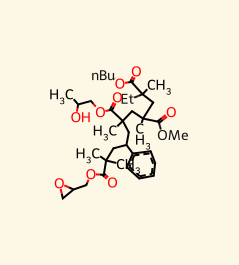 CCCCOC(=O)C(C)(CC)CC(C)(CC(C)(CC(CC(C)(C)C(=O)OCC1CO1)c1ccccc1)C(=O)OCC(C)O)C(=O)OC